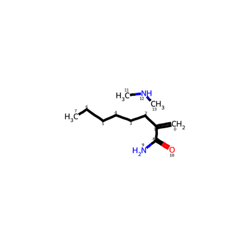 C=C(CCCCCC)C(N)=O.CNC